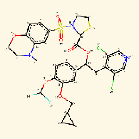 CN1CCOc2ccc(S(=O)(=O)N3CCSC3C(=O)OC(Cc3c(Cl)cncc3Cl)c3ccc(OC(F)F)c(OCC4CC4)c3)cc21